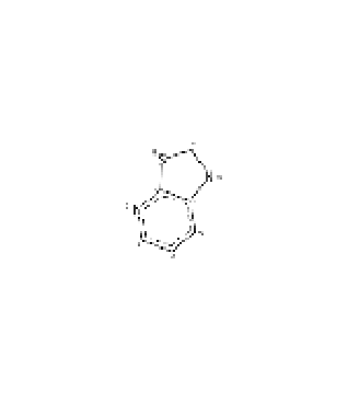 c1cnc2c(c1)[N]CS2